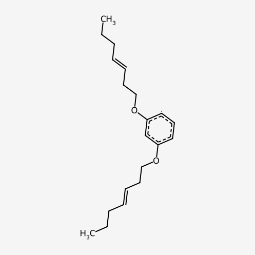 CCCC=CCCOc1[c]ccc(OCCC=CCCC)c1